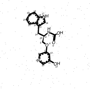 O=C(O)N[C@@H](COc1cncc(O)c1)Cc1c[nH]c2ccccc12